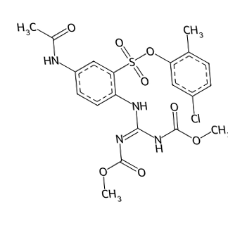 COC(=O)N=C(NC(=O)OC)Nc1ccc(NC(C)=O)cc1S(=O)(=O)Oc1cc(Cl)ccc1C